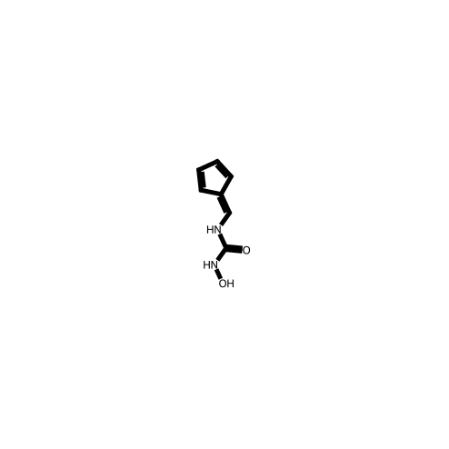 O=C(NO)NC=C1C=CC=C1